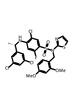 COc1ccc(CN(c2nccs2)S(=O)(=O)c2cc(Cl)c(N[C@@H](C)c3cc(Cl)cc(Cl)c3)cc2F)c(OC)c1